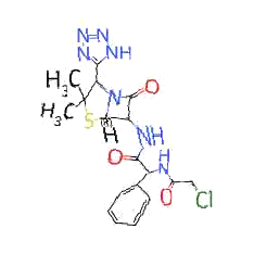 CC1(C)S[C@@H]2C(NC(=O)C(NC(=O)CCl)c3ccccc3)C(=O)N2C1c1nnn[nH]1